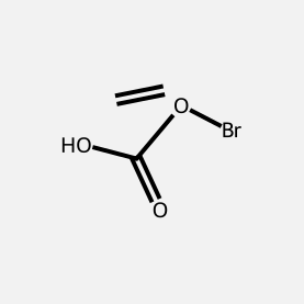 C=C.O=C(O)OBr